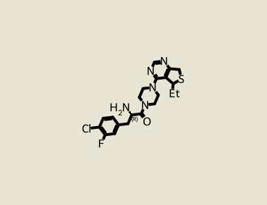 CCC1SCc2ncnc(N3CCN(C(=O)[C@H](N)Cc4ccc(Cl)c(F)c4)CC3)c21